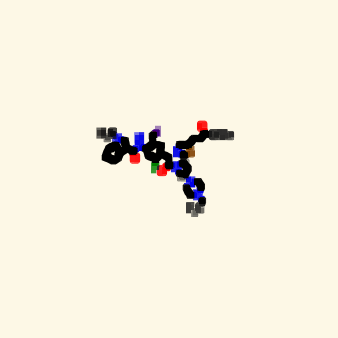 COC(=O)CCc1cnc([C@@H]2C[C@H](N3CCN(CC(F)(F)F)CC3)CN2C(=O)Cc2cc(CI)c(NC(=O)c3cn(C)c4ccccc34)cc2F)s1